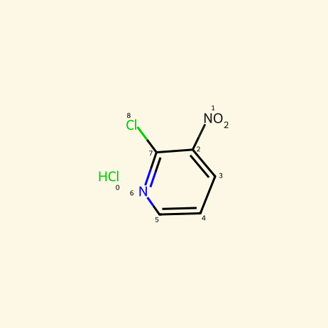 Cl.O=[N+]([O-])c1cccnc1Cl